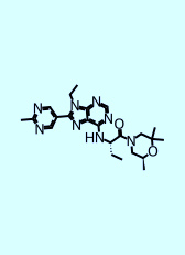 CC[C@H](Nc1ncnc2c1nc(-c1cnc(C)nc1)n2CC)C(=O)N1C[C@H](C)OC(C)(C)C1